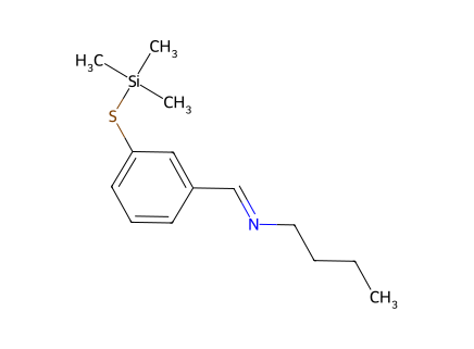 CCCCN=Cc1cccc(S[Si](C)(C)C)c1